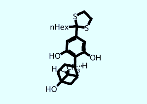 CCCCCCC1(c2cc(O)c([C@@H]3CCC4(O)CC3C4(C)C)c(O)c2)SCCS1